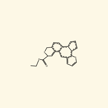 CCOC(=O)C1C=c2c(ccc3c4cccc-4c4c(cc23)=CC=CS4)CS1